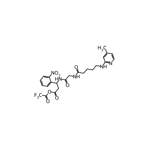 Cc1ccnc(NCCCCC(=O)NCC(=O)NC(CC(=O)OC(=O)C(F)(F)F)c2ccccc2[N+](=O)[O-])c1